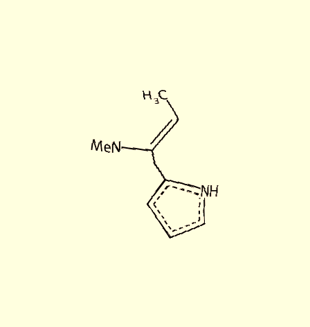 C/C=C(\NC)c1ccc[nH]1